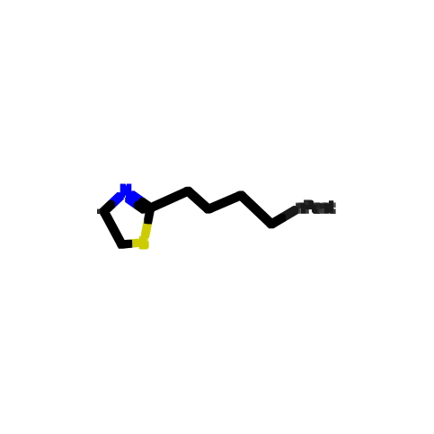 CCCCCCCCCC1=N[CH]CS1